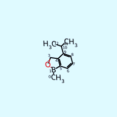 CB1OCc2c1cccc2C(C)C